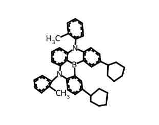 Cc1ccccc1N1c2ccc(C3CCCCC3)cc2B2c3cc(C4CCCCC4)ccc3N(c3ccccc3C)c3cccc1c32